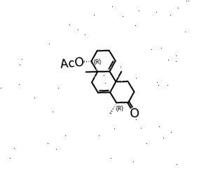 CC(=O)O[C@@H]1CCC=C2C3(C)CCC(=O)[C@H](C)C3=CCC21C